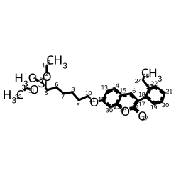 CCO[Si](C)(CCCCCCOc1ccc2cc(-c3ccccc3CC)c(=O)oc2c1)OCC